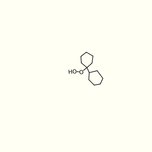 OOC1(C2CCCCC2)CCCCC1